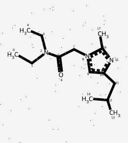 CCN(CC)C(=O)Cn1cc(CC(C)C)nc1C